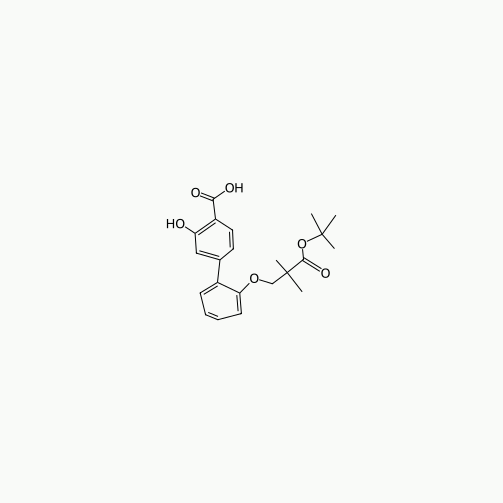 CC(C)(C)OC(=O)C(C)(C)COc1ccccc1-c1ccc(C(=O)O)c(O)c1